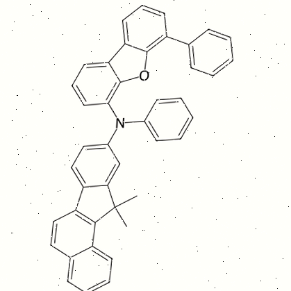 CC1(C)c2cc(N(c3ccccc3)c3cccc4c3oc3c(-c5ccccc5)cccc34)ccc2-c2ccc3ccccc3c21